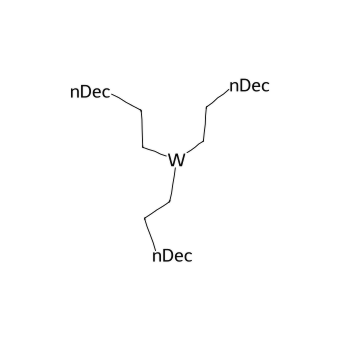 CCCCCCCCCCC[CH2][W]([CH2]CCCCCCCCCCC)[CH2]CCCCCCCCCCC